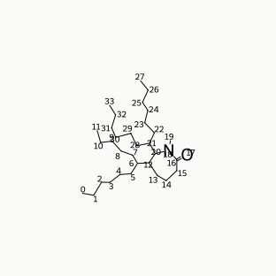 CCCCCCC(CCCCC)C1CCCC(=O)N(C)C1C(CCCCCC)CCCCCC